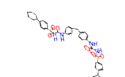 O=C(Nc1ccc(Cc2ccc(NC(=O)NS(=O)(=O)c3ccc(C4CCCCC4)cc3)cc2)cc1)NS(=O)(=O)c1ccc(C2CCCCC2)cc1